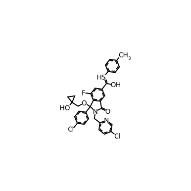 Cc1ccc([SH]=C(O)c2cc(F)c3c(c2)C(=O)N(Cc2ccc(Cl)cn2)C3(OCC2(O)CC2)c2ccc(Cl)cc2)cc1